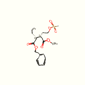 CC(C)C[C@@H](C(=O)OCc1ccccc1)[C@H](CCOS(C)(=O)=O)C(=O)OC(C)(C)C